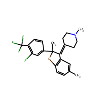 Cc1ccc2c(c1)C(=C1CCN(C)CC1)C(C)(c1ccc(C(F)(F)F)c(F)c1)S2